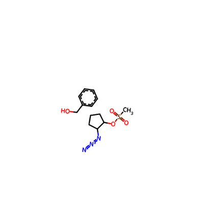 CS(=O)(=O)OC1CCCC1N=[N+]=[N-].OCc1ccccc1